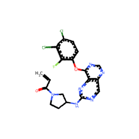 C=CC(=O)N1CCC(Nc2ncc3ncnc(Oc4ccc(Cl)c(Cl)c4F)c3n2)C1